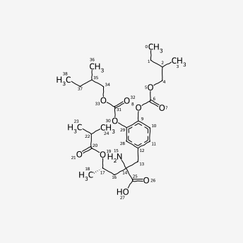 CCC(C)COC(=O)Oc1ccc(CC(N)(C[C@H](C)OC(=O)C(C)C)C(=O)O)cc1OC(=O)OCC(C)CC